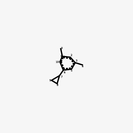 Cc1cc(C)cc(C2CC2)c1